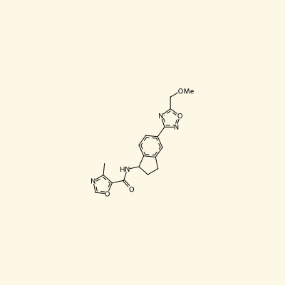 COCc1nc(-c2ccc3c(c2)CCC3NC(=O)c2ocnc2C)no1